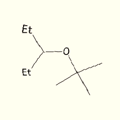 [CH2]CC(CC)OC(C)(C)C